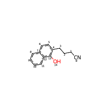 N#CCCCc1ccc2ccccc2c1O